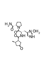 C[C@@H]1CC(=O)C[C@@H]1C(=O)N[C@@H](Cc1c[nH]cn1)C(=O)N1CCC[C@H]1C(N)=O.O